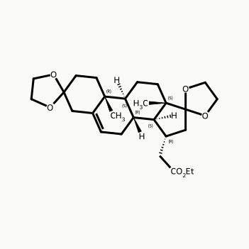 CCOC(=O)C[C@H]1CC2(OCCO2)[C@@]2(C)CC[C@H]3[C@@H](CC=C4CC5(CC[C@@]43C)OCCO5)[C@H]12